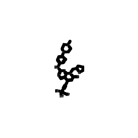 CC(C)[Si](C#Cc1cc(=O)n(CC2CCCO2)c2nc(Nc3ccc(N4CCN(C)CC4)cc3)ncc12)(C(C)C)C(C)C